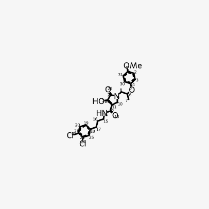 COc1ccc(OC(C)CN2CC(C(=O)NCCCc3ccc(Cl)c(Cl)c3)=C(O)C2=O)cc1